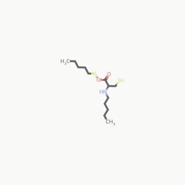 CCCCCNC(CS)C(=O)OSCCCCC